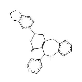 O=C1CC(c2ccc3c(c2)OCO3)CC2=C1C(c1ccncc1)Nc1ccccc1N2